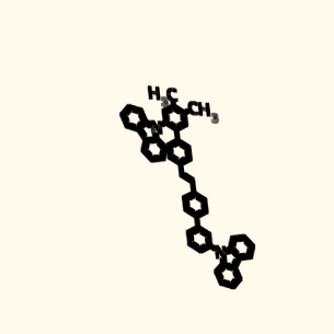 Cc1cc(-c2ccc(/C=C/c3ccc(-c4cccc(-n5c6ccccc6c6ccccc65)c4)cc3)cc2)c(-n2c3ccccc3c3ccccc32)cc1C